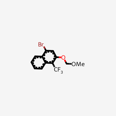 COCOc1cc(Br)c2ccccc2c1C(F)(F)F